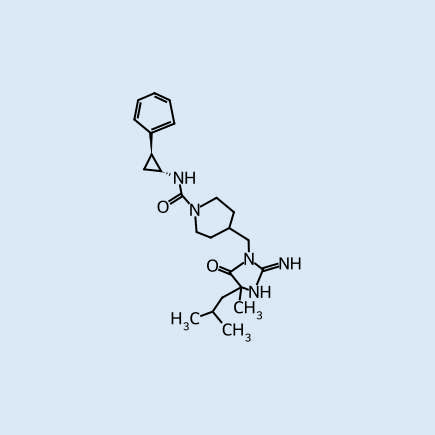 CC(C)CC1(C)NC(=N)N(CC2CCN(C(=O)N[C@@H]3C[C@H]3c3ccccc3)CC2)C1=O